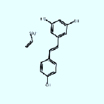 C=CS(=O)(=O)O.Oc1ccc(C=Cc2cc(O)cc(O)c2)cc1